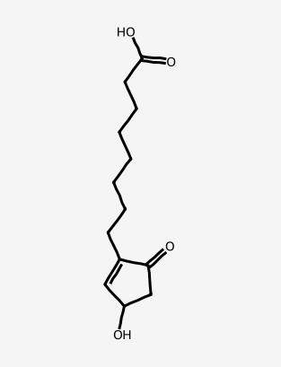 O=C(O)CCCCCCCC1=CC(O)CC1=O